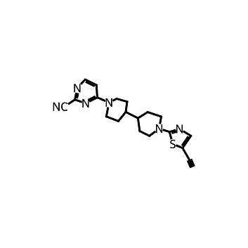 C#Cc1cnc(N2CCC(C3CCN(c4ccnc(C#N)n4)CC3)CC2)s1